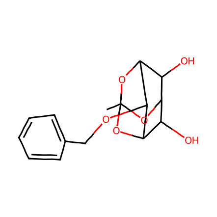 CC12OC3C(O)C(O1)C(OCc1ccccc1)C(O2)C3O